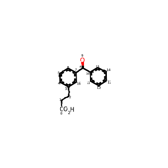 O=C(O)CCc1cccc(C(=O)c2ccccc2)c1